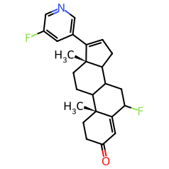 C[C@]12CCC(=O)C=C1C(F)CC1C2CC[C@]2(C)C(c3cncc(F)c3)=CCC12